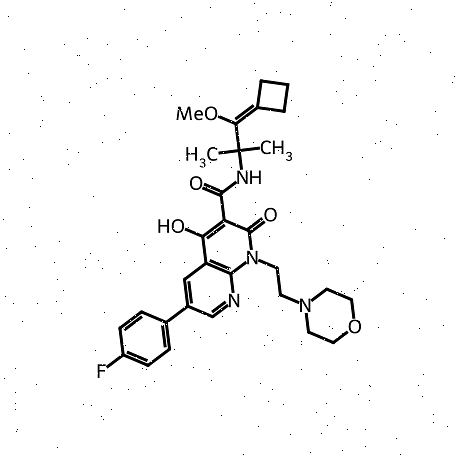 COC(=C1CCC1)C(C)(C)NC(=O)c1c(O)c2cc(-c3ccc(F)cc3)cnc2n(CCN2CCOCC2)c1=O